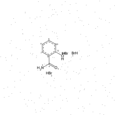 Br.Br.Br.NC(=O)c1ccccc1O